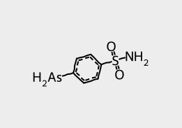 NS(=O)(=O)c1ccc([AsH2])cc1